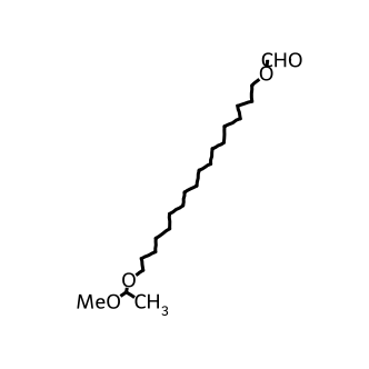 COC(C)OCCCCCCCCCCCCCCCCCCO[C]=O